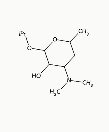 CC(C)OC1OC(C)CC(N(C)C)C1O